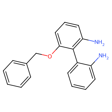 Nc1ccccc1-c1c(N)cccc1OCc1ccccc1